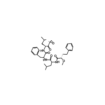 CO[C@@H](CCc1ccccc1)C(=O)NC(CC(C)C)C(=O)NC(Cc1ccccc1)C(=O)N[C@@H](CC(C)C)C(=O)[C@@]1(C)CO1